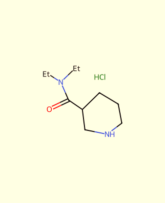 CCN(CC)C(=O)C1CCCNC1.Cl